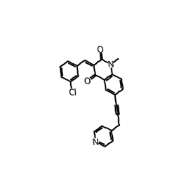 CN1C(=O)/C(=C/c2cccc(Cl)c2)C(=O)c2cc(C#CCc3ccncc3)ccc21